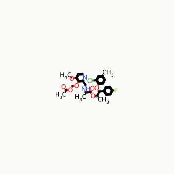 COc1ccnc(CN[C@@H](C)C(=O)O[C@@H](C)[C@H](Oc2ccc(C)cc2Cl)c2ccc(F)cc2)c1OCOC(C)=O